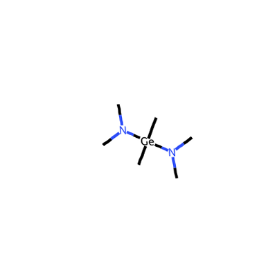 C[N](C)[Ge]([CH3])([CH3])[N](C)C